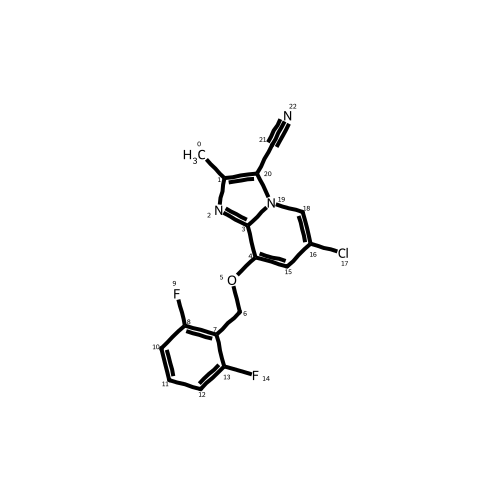 Cc1nc2c(OCc3c(F)cccc3F)cc(Cl)cn2c1C#N